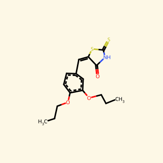 CCCOc1ccc(C=C2SC(=S)NC2=O)cc1OCCC